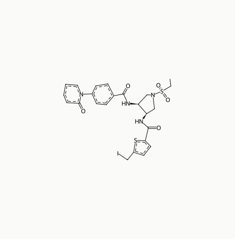 CCS(=O)(=O)N1C[C@H](NC(=O)c2ccc(-n3ccccc3=O)cc2)[C@H](NC(=O)c2ccc(CI)s2)C1